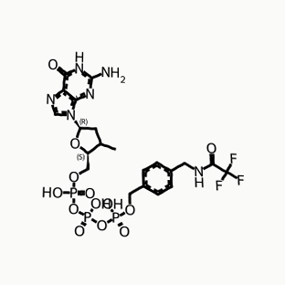 CC1C[C@H](n2cnc3c(=O)[nH]c(N)nc32)O[C@@H]1COP(=O)(O)OP(=O)(O)OP(=O)(O)OCc1ccc(CNC(=O)C(F)(F)F)cc1